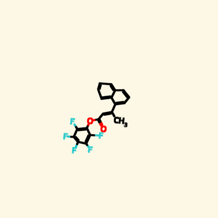 CC(=CC(=O)Oc1c(F)c(F)c(F)c(F)c1F)c1cccc2ccccc12